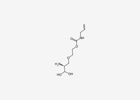 C=CCNC(=O)OCCOC[C@H](N)C(O)O